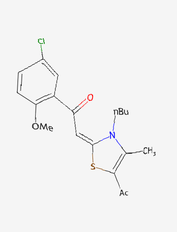 CCCCN1C(=CC(=O)c2cc(Cl)ccc2OC)SC(C(C)=O)=C1C